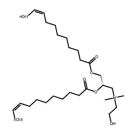 CCCCCCCC/C=C\CCCCCCCC(=O)OC[C@H](C[N+](C)(C)CCO)OC(=O)CCCCCCC/C=C\CCCCCCCC